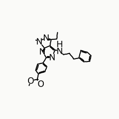 CCc1nn(C)c2nc(-c3ccc(C(=O)OC)cc3)nc(NCCCc3ccccc3)c12